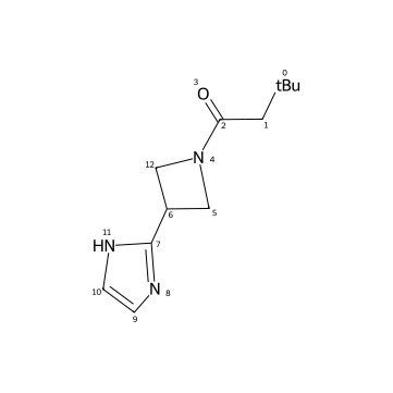 CC(C)(C)CC(=O)N1CC(c2ncc[nH]2)C1